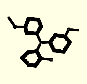 COc1cccc(P(c2cccc(OC)c2)c2ccncc2Cl)c1